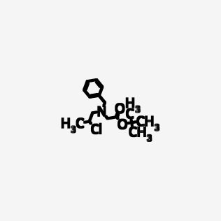 CC(Cl)CN(CC(=O)OC(C)(C)C)Cc1ccccc1